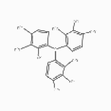 CCCc1ccc(P(c2ccc(CCC)c(CCC)c2CCC)c2ccc(CCC)c(CCC)c2CCC)c(CCC)c1CCC